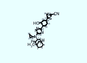 C[C@@]12CCC[C@@H](C[C@H](N(c3cnc(-c4ccc(-c5cnc(C#N)s5)cc4O)nn3)C3CC3)[C@@H]1F)C2